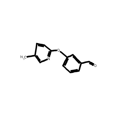 Cc1ccc(Oc2cccc(C=O)c2)nc1